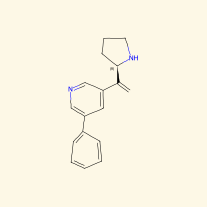 C=C(c1cncc(-c2ccccc2)c1)[C@H]1CCCN1